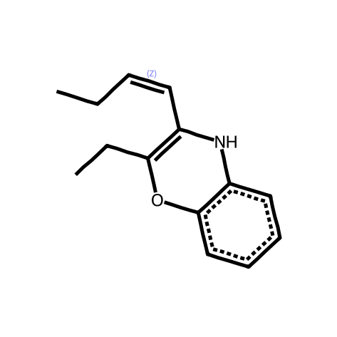 CC/C=C\C1=C(CC)Oc2ccccc2N1